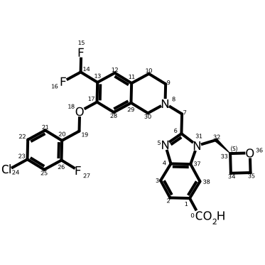 O=C(O)c1ccc2nc(CN3CCc4cc(C(F)F)c(OCc5ccc(Cl)cc5F)cc4C3)n(C[C@@H]3CCO3)c2c1